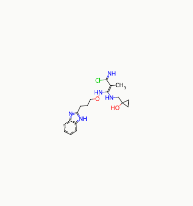 C/C(C(=N)Cl)=C(\NCC1(O)CC1)NOCCCc1nc2ccccc2[nH]1